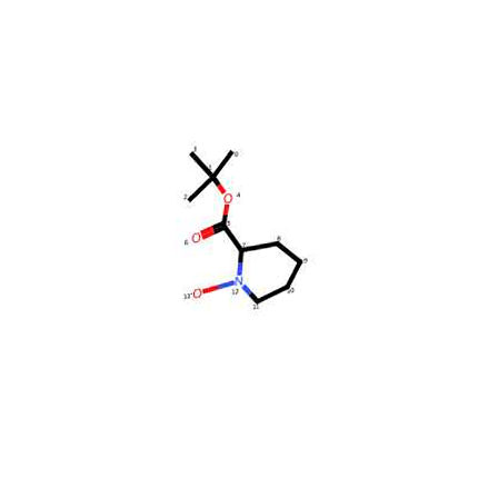 CC(C)(C)OC(=O)C1CCCCN1[O]